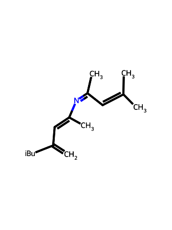 C=C(/C=C(C)/N=C(/C)C=C(C)C)C(C)CC